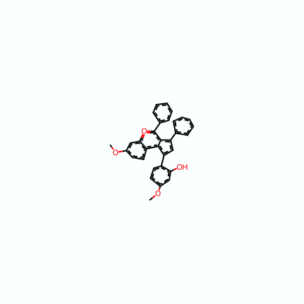 COc1ccc(-c2cc(-c3ccccc3)c3c(-c4ccccc4)oc4cc(OC)ccc4c2-3)c(O)c1